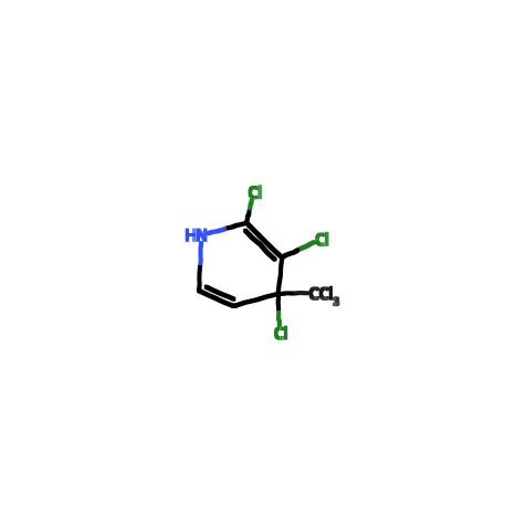 ClC1=C(Cl)C(Cl)(C(Cl)(Cl)Cl)C=CN1